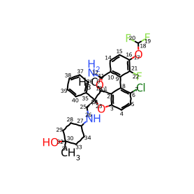 C[C@H]1c2c(ccc(Cl)c2-c2c(C(N)=O)ccc(OC(F)F)c2F)O[C@]1(CNC1CCC(C)(O)CC1)c1ccccc1